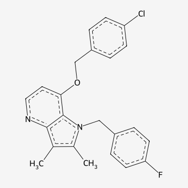 Cc1c(C)n(Cc2ccc(F)cc2)c2c(OCc3ccc(Cl)cc3)ccnc12